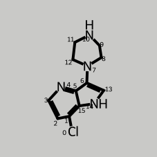 Clc1ccnc2c(N3CCNCC3)c[nH]c12